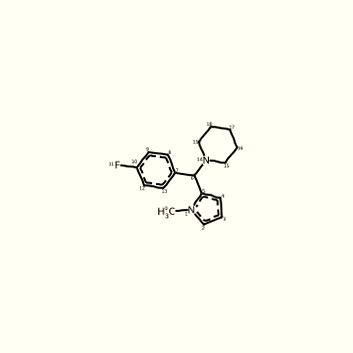 Cn1cccc1C(c1ccc(F)cc1)N1CCCCC1